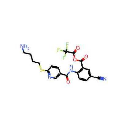 N#Cc1ccc(NC(=O)c2ccc(SCCCCN)nc2)c(C(=O)OC(=O)C(F)(F)F)c1